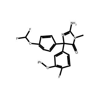 CC(C)Oc1cc(C2(c3ccc(OC(F)F)cc3)N=C(N)N(C)C2=O)ccc1F